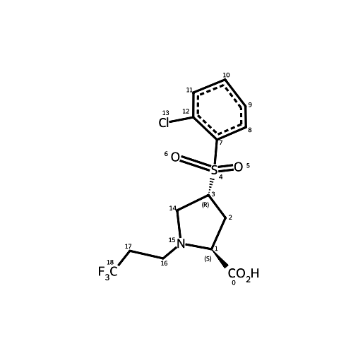 O=C(O)[C@@H]1C[C@@H](S(=O)(=O)c2ccccc2Cl)CN1CCC(F)(F)F